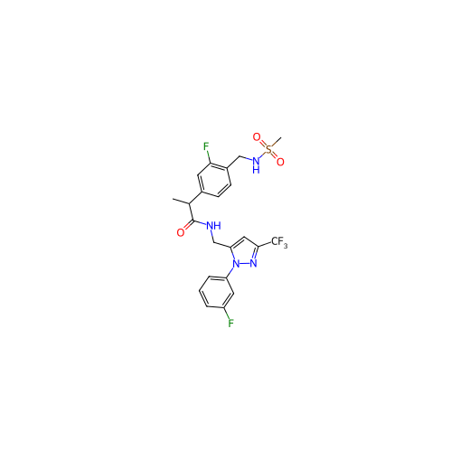 CC(C(=O)NCc1cc(C(F)(F)F)nn1-c1cccc(F)c1)c1ccc(CNS(C)(=O)=O)c(F)c1